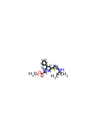 CCOC(=O)c1cn2cc(-c3cnc(N[C@H](C)CC)s3)cc(-c3ccccc3F)c2n1